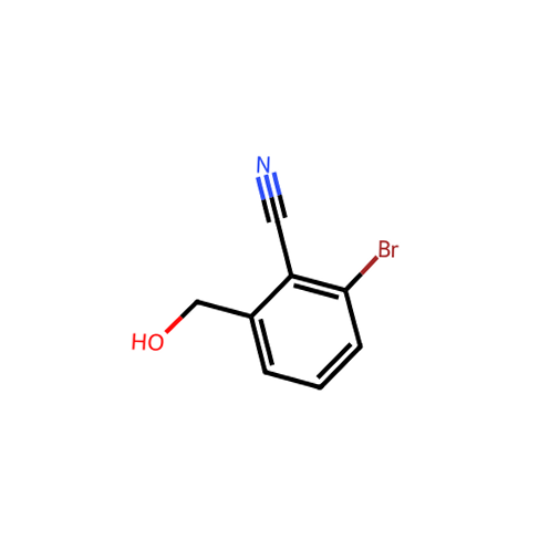 N#Cc1c(Br)cccc1CO